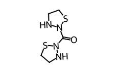 O=C(N1NCCS1)N1NCCS1